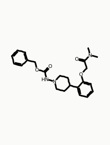 CN(C)C(=O)COc1ccccc1C1CCN(NC(=O)OCc2ccccc2)CC1